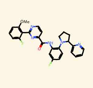 COc1cccc(F)c1-c1nccc(C(=O)Nc2cc(F)ccc2N2CCCC2c2ccccn2)n1